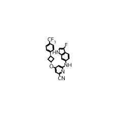 N#Cc1cc(O[C@H]2C[C@H](c3ccc(C(F)(F)F)cc3)C2)cc(Nc2ccc3c(F)c[nH]c3c2)n1